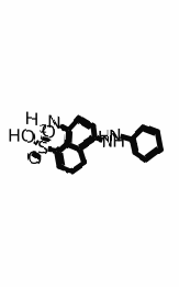 Nc1ccc(NNc2ccccc2)c2c1C(S(=O)(=O)O)=CCC2